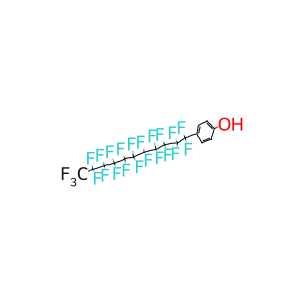 Oc1ccc(C(F)(F)C(F)(F)C(F)(F)C(F)(F)C(F)(F)C(F)(F)C(F)(F)C(F)(F)C(F)(F)C(F)(F)C(F)(F)F)cc1